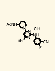 CCCc1cc(N2CCCC(NC(C)=O)C2)nc(Nc2ccc(F)c(C#N)c2)n1.Cl